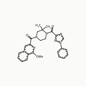 COc1nc(C(=O)N2CCN(C(=O)c3ncn(-c4ccccc4)n3)C(C)(C)C2)cc2ccccc12